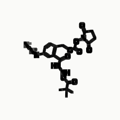 CC(C)(C)C(=O)ONNC(=O)c1cc(N=[N+]=[N-])ccc1COC(=O)ON1C(=O)CCC1=O